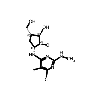 CNc1nc(Cl)c(I)c(N[C@@H]2C[C@H](CO)[C@@H](O)[C@H]2O)n1